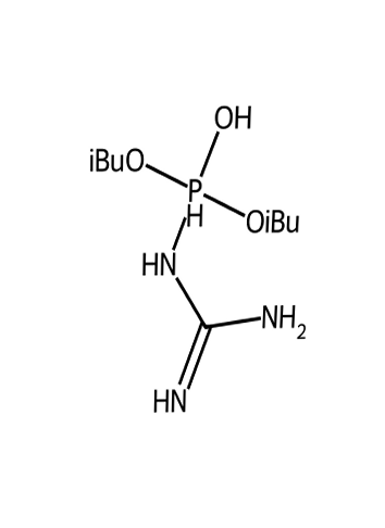 CC(C)CO[PH](O)(NC(=N)N)OCC(C)C